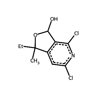 CCC1(C)OC(O)c2c1cc(Cl)nc2Cl